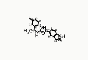 C[C@@H](Nc1nnc(-c2ccc3[nH]ncc3c2)o1)c1cccc(F)c1